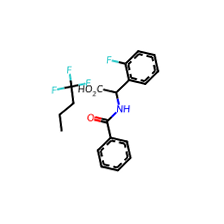 CCCC(F)(F)F.O=C(NC(C(=O)O)c1ccccc1F)c1ccccc1